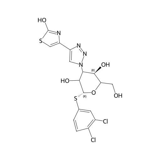 OCC1O[C@H](Sc2ccc(Cl)c(Cl)c2)C(O)C(n2cc(-c3csc(O)n3)nn2)[C@H]1O